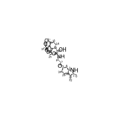 Cc1[nH]c2cc(OCCNCC(O)c3ccc(Cl)c(S(C)(=O)=O)c3S(C)(=O)=O)ccc2c1C